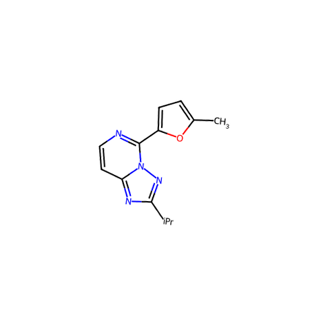 Cc1ccc(-c2nccc3nc(C(C)C)nn23)o1